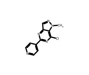 Cn1ncc2nc(-c3ccncc3)nc(Cl)c21